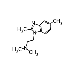 Cc1ccc2c(c1)nc(C)n2CCN(C)C